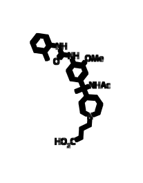 COc1cc(C(C)(NC(C)=O)C2=CC=CN(CCCC(=O)O)C=C2)ccc1NC(=O)Nc1ccccc1C